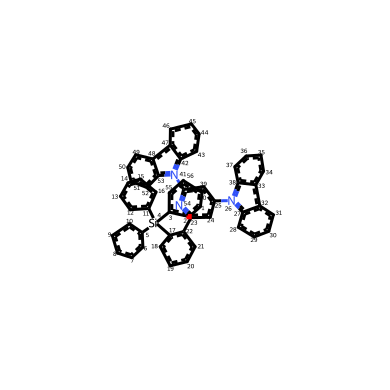 c1ccc([Si](c2ccccc2)(c2ccccc2)c2ccccc2-c2cc(-n3c4ccccc4c4ccccc43)cc(-n3c4ccccc4c4ccccc43)n2)cc1